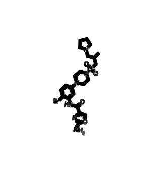 CC(CN1CCCC1)CS(=O)(=O)N1CCN(c2ccc(Br)c(NC(=O)c3coc(N)n3)c2)CC1